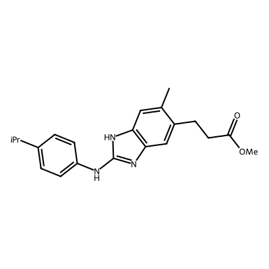 COC(=O)CCc1cc2nc(Nc3ccc(C(C)C)cc3)[nH]c2cc1C